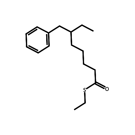 CCSC(=O)CCCCC(CC)Cc1ccccc1